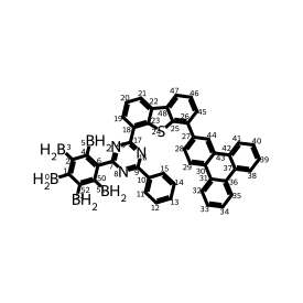 Bc1c(B)c(B)c(-c2nc(-c3ccccc3)nc(-c3cccc4c3sc3c(-c5ccc6c7ccccc7c7ccccc7c6c5)cccc34)n2)c(B)c1B